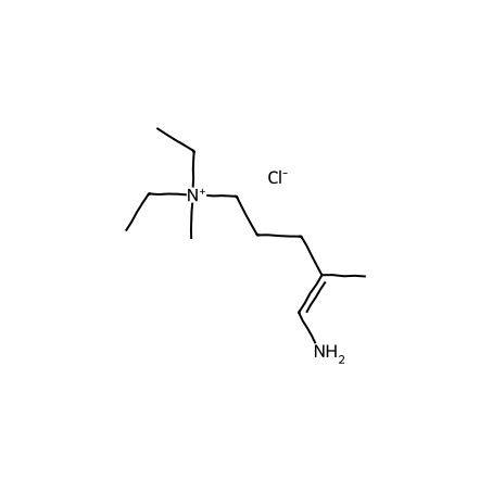 CC[N+](C)(CC)CCCC(C)=CN.[Cl-]